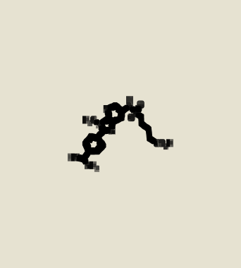 Cn1c(-c2ccc(C(=N)N)cc2)nc2cc(NS(=O)(=O)CCCCC(=O)O)cnc21